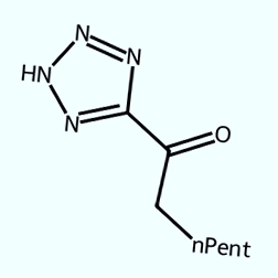 CCCCCCC(=O)c1nn[nH]n1